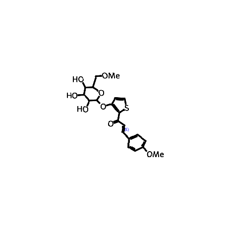 COCC1OC(Oc2ccsc2C(=O)/C=C/c2ccc(OC)cc2)C(O)C(O)C1O